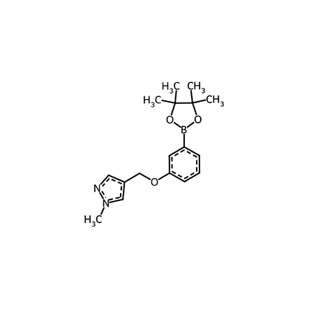 Cn1cc(COc2cccc(B3OC(C)(C)C(C)(C)O3)c2)cn1